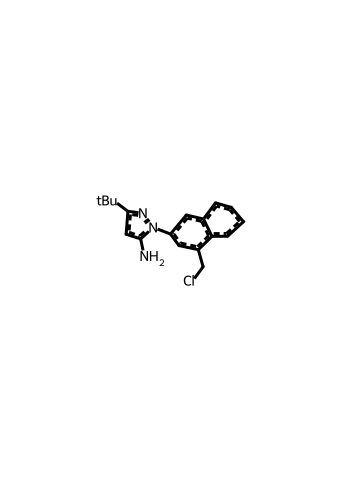 CC(C)(C)c1cc(N)n(-c2cc(CCl)c3ccccc3c2)n1